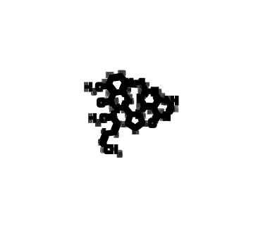 C=C(/C=C\C=C/C)n1c(C2CCCN2c2nc(SC)nc3[nH]cnc(=O)c23)nc2cccc(C)c2c1=O